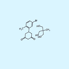 CC(CO)(CO)CO.Cc1ccc(Br)cc1C1CC(=O)CC(=O)C1